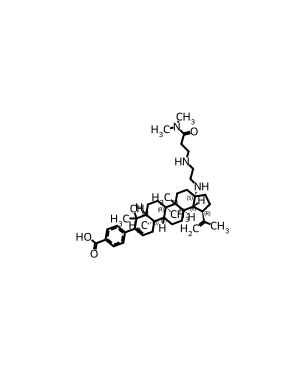 C=C(C)[C@@H]1CC[C@]2(NCCNCCC(=O)N(C)C)CC[C@]3(C)[C@H](CC[C@@H]4[C@@]5(C)CC=C(c6ccc(C(=O)O)cc6)C(C)(C)[C@@H]5CC[C@]43C)[C@@H]12